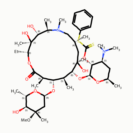 CC[C@H]1OC(=O)[C@H](C)[C@@H](O[C@H]2C[C@@](C)(OC)[C@@H](O)[C@H](C)O2)[C@H](C)[C@@H](O[C@@H]2O[C@H](C)C[C@H](N(C)C)[C@H]2OC(=S)Sc2ccccc2)[C@](C)(O)C[C@@H](C)CN(C)[C@H](C)[C@@H](O)[C@]1(C)O